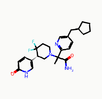 CC(C(N)=O)(c1ccc(CC2CCCC2)cn1)N1CCC(F)(F)[C@@H](c2ccc(=O)[nH]c2)C1